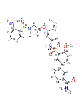 C=C(/C=C(\C=C/C)O[C@H]1CCN(C(=O)c2ccccc2N(C)C)C1)NS(=O)(=O)c1cc(-c2cccc(C(=O)N(C)C)c2)ccc1OC